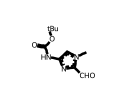 Cn1cc(NC(=O)OC(C)(C)C)nc1C=O